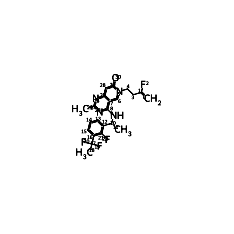 C=C(F)CCn1cc2c(N[C@H](C)c3cccc(C(C)(F)F)c3F)nc(C)nc2cc1=O